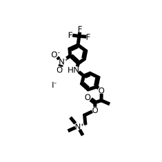 CC(Oc1ccc(Nc2ccc(C(F)(F)F)cc2[N+](=O)[O-])cc1)C(=O)OCC[N+](C)(C)C.[I-]